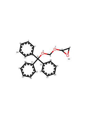 c1ccc(C(OCOC2CO2)(c2ccccc2)c2ccccc2)cc1